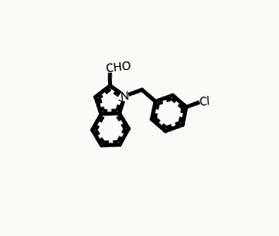 O=Cc1cc2ccccc2n1Cc1cccc(Cl)c1